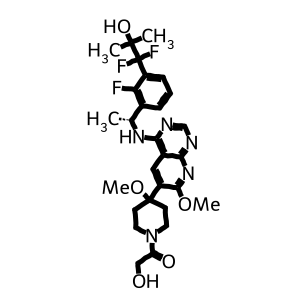 COc1nc2ncnc(N[C@H](C)c3cccc(C(F)(F)C(C)(C)O)c3F)c2cc1C1(OC)CCN(C(=O)CO)CC1